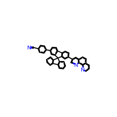 N#Cc1ccc(-c2ccc3c(c2)C2(c4ccccc4-c4ccccc42)c2cc(-c4cnc5c(ccc6cccnc65)c4)ccc2-3)cc1